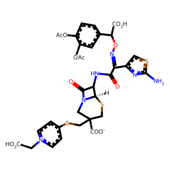 CC(=O)Oc1ccc(C(ON=C(C(=O)NC2C(=O)N3CC(CSc4cc[n+](CC(=O)O)cc4)(C(=O)[O-])CS[C@H]23)c2csc(N)n2)C(=O)O)cc1OC(C)=O